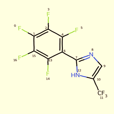 Fc1c(F)c(F)c(-c2ncc(C(F)(F)F)[nH]2)c(F)c1F